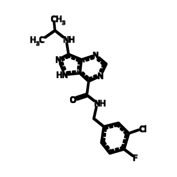 CC(C)Nc1n[nH]c2c(C(=O)NCc3ccc(F)c(Cl)c3)ncnc12